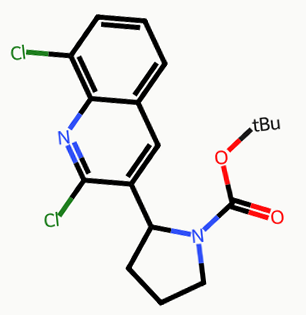 CC(C)(C)OC(=O)N1CCCC1c1cc2cccc(Cl)c2nc1Cl